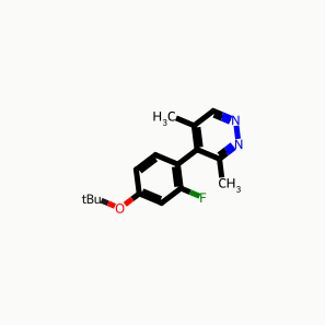 Cc1cnnc(C)c1-c1ccc(OC(C)(C)C)cc1F